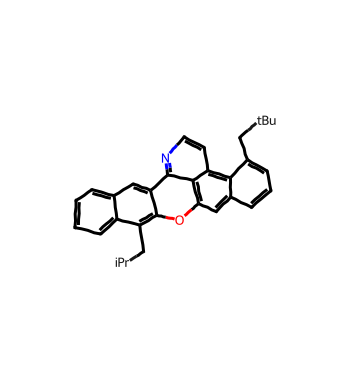 CC(C)Cc1c2c(cc3ccccc13)-c1nccc3c1c(cc1cccc(CC(C)(C)C)c13)O2